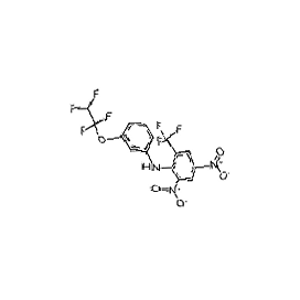 O=[N+]([O-])c1cc([N+](=O)[O-])c(Nc2cccc(OC(F)(F)C(F)F)c2)c(C(F)(F)F)c1